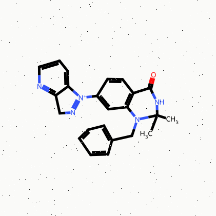 CC1(C)NC(=O)c2ccc([N+]3=NCc4ncccc43)cc2N1Cc1ccccc1